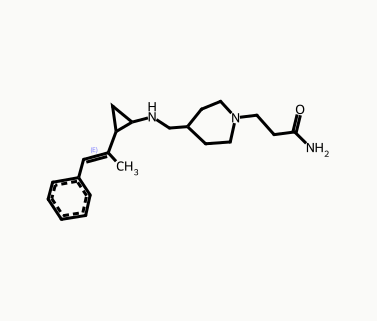 C/C(=C\c1ccccc1)C1CC1NCC1CCN(CCC(N)=O)CC1